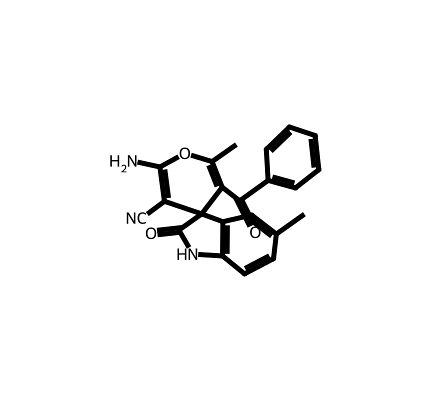 CC1=C(C(=O)c2ccccc2)C2(C(=O)Nc3ccc(C)cc32)C(C#N)=C(N)O1